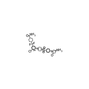 NC(=O)C1CCC(C(F)(F)c2cc(Cl)nc(N3CCN(S(=O)(=O)c4ccc(N5C[C@H](N)CC5=O)cc4)CC3)c2)CC1